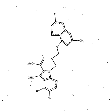 COC(=O)c1c(C=O)c2c(Br)c(Cl)ccc2n1CCCOc1cc(C)cc2cc(F)ccc12